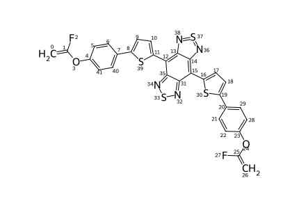 C=C(F)Oc1ccc(-c2ccc(-c3c4c(c(-c5ccc(-c6ccc(OC(=C)F)cc6)s5)c5nsnc35)N=S=N4)s2)cc1